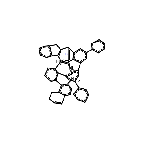 CC1=C2C3=C(Cc4ccccc43)/C3=C(\C)Nc4c(cc(-c5ccccc5)cc4-c4c2cccc4-c2c(N)ccc4c2CCC=C4)-c2cc(-c4ccccc4)cc3c21